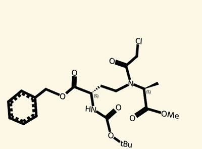 COC(=O)[C@H](C)N(CC[C@H](NC(=O)OC(C)(C)C)C(=O)OCc1ccccc1)C(=O)CCl